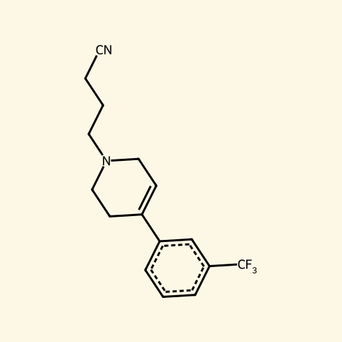 N#CCCCN1CC=C(c2cccc(C(F)(F)F)c2)CC1